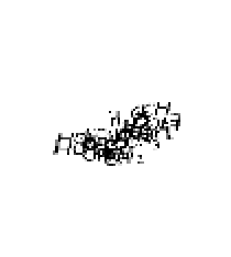 CC1(C)CC[C@]2(CO)[C@@H](O)C[C@]3(C)C(=CC[C@@H]4[C@@]5(C)CC[C@H](O[C@@H]6O[C@H](C(=O)O)[C@@H](O)[C@H](O)[C@H]6O)[C@@](C)(CO)[C@@H]5CC[C@]43C)[C@@H]2C1